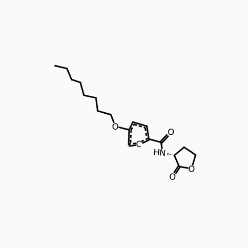 CCCCCCCCOc1ccc(C(=O)N[C@@H]2CCOC2=O)cc1